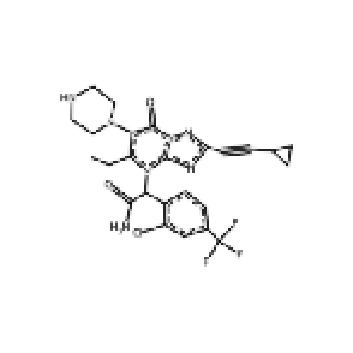 CCc1c(N2CCNCC2)c(=O)n2nc(C#CC3CC3)nc2n1C(C(N)=O)c1ccc(C(F)(F)F)cc1Cl